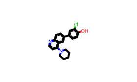 Oc1ccc(-c2ccc3nc[c]c(N4CCCCC4)c3c2)cc1Cl